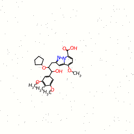 COc1cc(C(O)C(Cc2cc3c(OC)ccc(C(=O)O)n3n2)OC2CCCC2)cc(OC)c1C